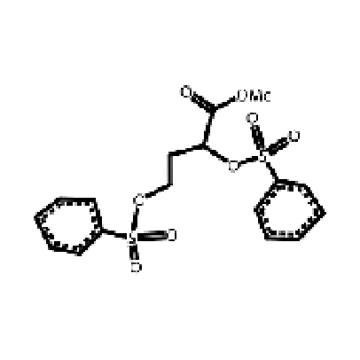 COC(=O)C(CCOS(=O)(=O)c1ccccc1)OS(=O)(=O)c1ccccc1